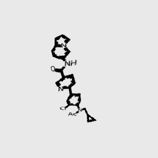 CC(=O)N(CC1CC1)c1ccc(-c2ccc(C(=O)Nc3ccc4cccn4c3)cn2)cc1Cl